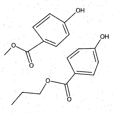 CCCOC(=O)c1ccc(O)cc1.COC(=O)c1ccc(O)cc1